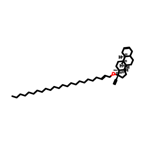 C#C[C@]1(OCC=CCCCCCCCCCCCCCCCCCCCCC)CC[C@H]2[C@@H]3CCC4CC=CC[C@@H]4[C@H]3CC[C@@]21C